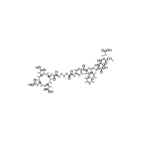 CC(=O)[C@@H](CCC(=O)O)NC(=O)N[C@H](CCCCN(Cc1nccc2ccccc12)C(=O)c1ccc(CNC(=O)CCCCNC(=O)CN2CCN(CC(=O)O)CCN(CC(=O)O)CCN(CC(=O)O)CC2)cc1)C(=O)O